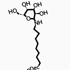 CCCCCCCCCCCCCCCCCCNC1O[C@H](CO)[C@H](O)[C@H](O)[C@H]1O